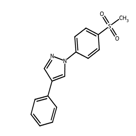 CS(=O)(=O)c1ccc(-n2cc(-c3ccccc3)cn2)cc1